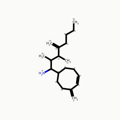 C=C1/C=C\CCC(C(N)C(C)C(C)C(=C)CCCC)CC1